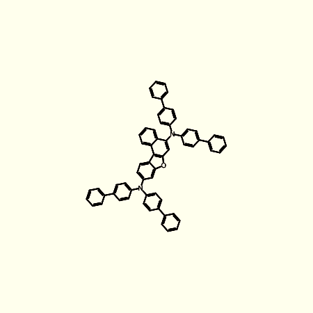 c1ccc(-c2ccc(N(c3ccc(-c4ccccc4)cc3)c3ccc4c(c3)oc3cc(N(c5ccc(-c6ccccc6)cc5)c5ccc(-c6ccccc6)cc5)c5ccccc5c34)cc2)cc1